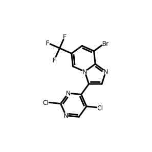 FC(F)(F)c1cc(Br)c2ncc(-c3nc(Cl)ncc3Cl)n2c1